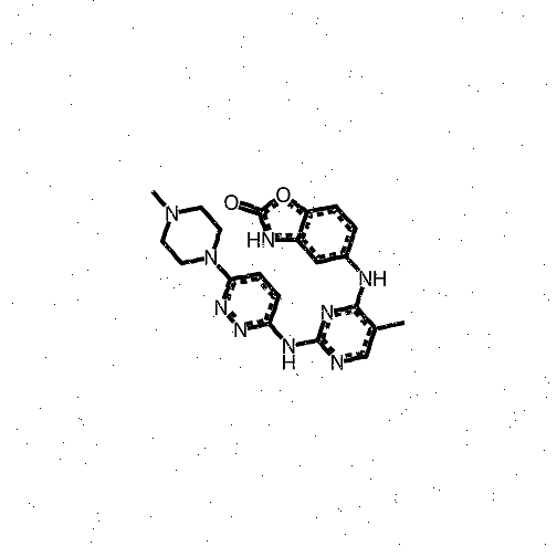 Cc1cnc(Nc2ccc(N3CCN(C)CC3)nn2)nc1Nc1ccc2oc(=O)[nH]c2c1